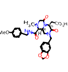 COc1ccc(CNC(=O)C2[C@H]3CN(Cc4ccc5c(c4)OCO5)C(=O)[C@H](CC(=O)O)N3C(=O)CN2C)cc1